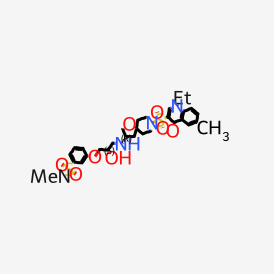 CCn1cc(S(=O)(=O)N2CCC3(CC2)C[C@@H](NC[C@H](O)COc2cccc(S(=O)(=O)NC)c2)CO3)c(=O)c2cc(C)ccc21